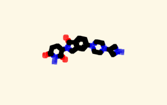 O=C1CCC(N2Cc3cc(N4CCN(C5CNC5)CC4)ccc3C2=O)C(=O)N1